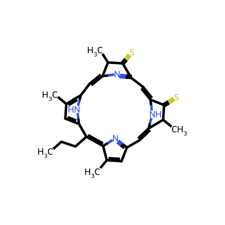 CCCc1c2nc(cc3[nH]c(cc4nc(cc5[nH]c1cc5C)C(C)C4=S)C(=S)C3C)C=C2C